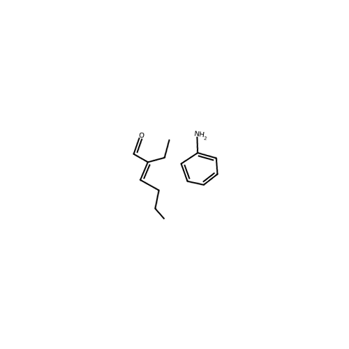 CCC/C=C(/C=O)CC.Nc1ccccc1